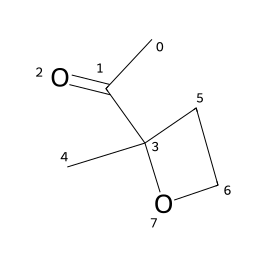 CC(=O)C1(C)CCO1